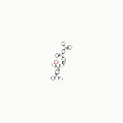 C1=CCCC(N(c2ccccc2)c2ccc(N(C3=C(c4ccccc4)c4c(oc5ccc(N(c6ccccc6)c6ccc(N(c7ccccc7)c7ccccc7)cc6)cc45)CC3)c3ccccc3)cc2)=C1